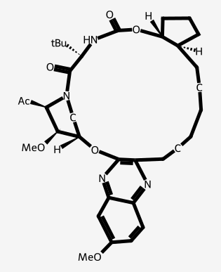 COc1ccc2nc3c(nc2c1)O[C@H]1CN(C(=O)[C@H](C(C)(C)C)NC(=O)O[C@@H]2CCC[C@H]2CCCCCC3)[C@H](C(C)=O)[C@@H]1OC